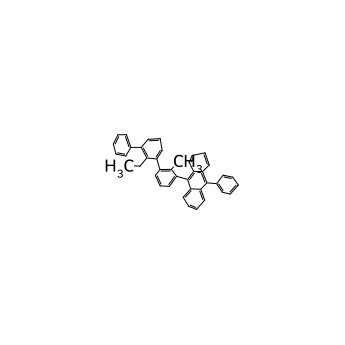 CCc1c(-c2ccccc2)cccc1-c1cccc(-c2c3ccccc3c(-c3ccccc3)c3ccccc23)c1C